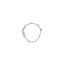 C1=CCCCOCCC=1